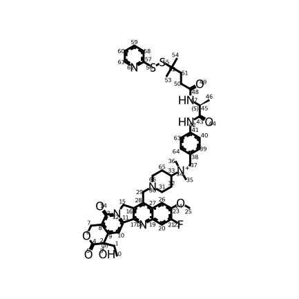 CC[C@@]1(O)C(=O)OCc2c1cc1n(c2=O)Cc2c-1nc1cc(F)c(OC)cc1c2CN1CCC([N+](C)(C)Cc2ccc(NC(=O)[C@H](C)NC(=O)CCC(C)(C)SSc3ccccn3)cc2)CC1